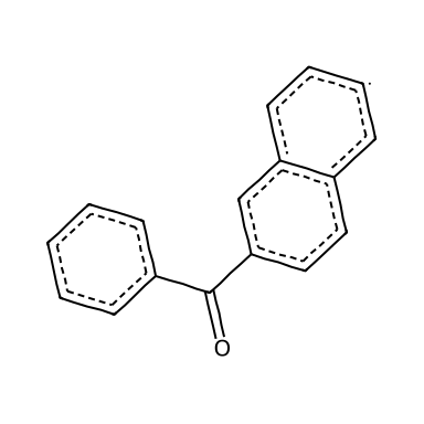 O=C(c1ccccc1)c1ccc2c[c]ccc2c1